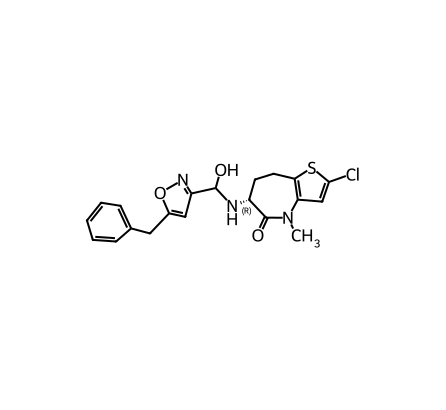 CN1C(=O)[C@H](NC(O)c2cc(Cc3ccccc3)on2)CCc2sc(Cl)cc21